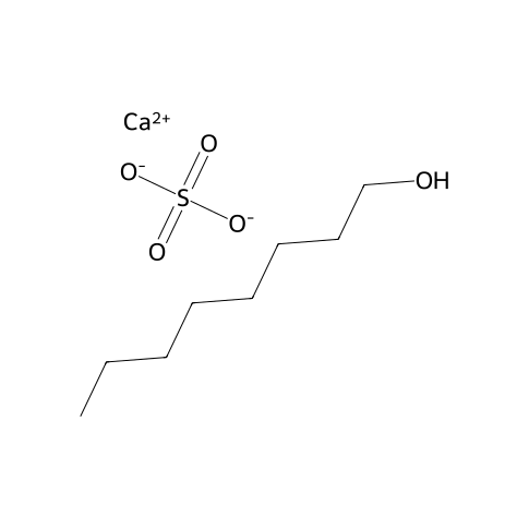 CCCCCCCCO.O=S(=O)([O-])[O-].[Ca+2]